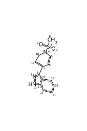 CS(=O)(=O)N1C=CC(c2n[nH]c3ccccc23)=CC1